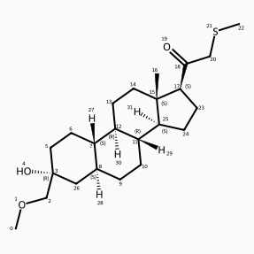 COC[C@@]1(O)CC[C@H]2[C@@H](CC[C@@H]3[C@@H]2CC[C@]2(C)[C@@H](C(=O)CSC)CC[C@@H]32)C1